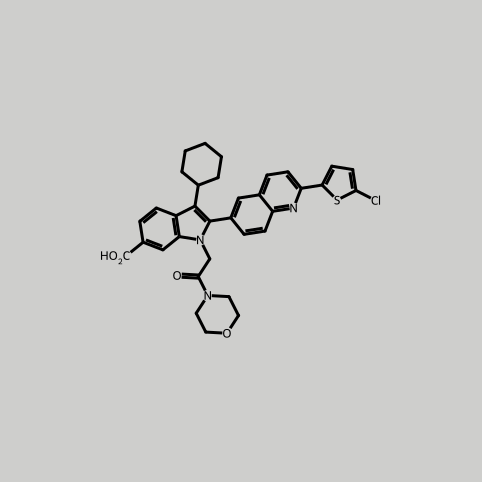 O=C(O)c1ccc2c(C3CCCCC3)c(-c3ccc4nc(-c5ccc(Cl)s5)ccc4c3)n(CC(=O)N3CCOCC3)c2c1